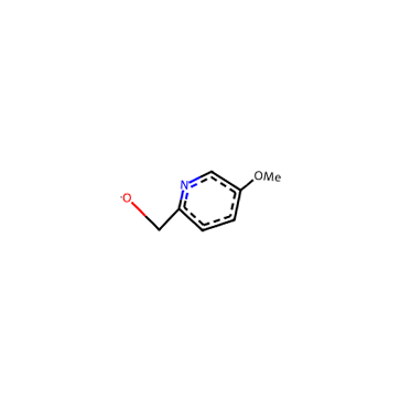 COc1ccc(C[O])nc1